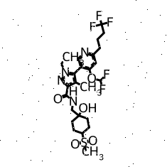 CCn1nc(C(=O)NCC2(O)CCC(S(C)(=O)=O)CC2)c(C)c1-c1cnc(CCCC(F)(F)F)cc1OC(F)F